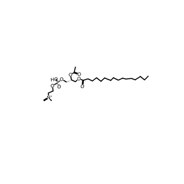 C=[N+](C)CCOP(=O)(O)OC[C@@H](COC(=O)CCCCCCCCCCCCCCC)OC(C)=O